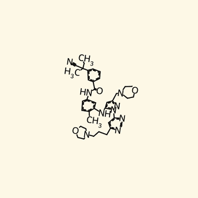 CCC(C)(C#N)c1cccc(C(=O)Nc2ccc(C)c(Nc3cc(CN4CCOCC4)nn3-c3cc(CCCN4CCOCC4)ncn3)c2)c1